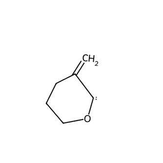 C=C1[C]OCCC1